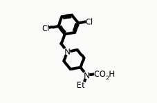 CCN(C(=O)O)C1CCN(Cc2cc(Cl)ccc2Cl)CC1